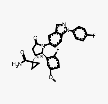 COc1ccc(F)c([C@H]2[C@H](C3(C(N)=O)CC3)CC(=O)N2c2ccc3c(cnn3-c3ccc(F)cc3)c2)c1